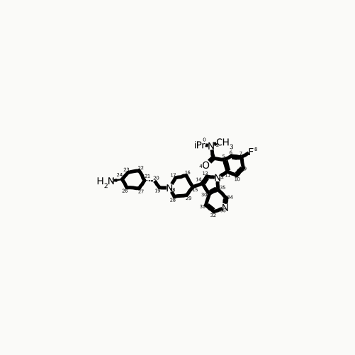 CC(C)N(C)C(=O)c1cc(F)ccc1-n1cc(C2CCN(CC[C@H]3CC[C@H](N)CC3)CC2)c2ccncc21